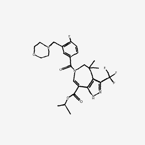 CC(C)OC(=O)C1=CN(C(=O)c2ccc(F)c(CN3CCOCC3)c2)CC(C)(C)c2c(C(F)(F)F)n[nH]c21